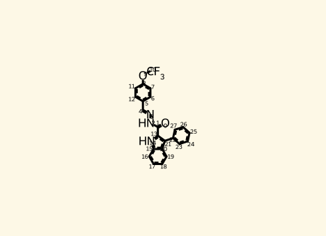 O=C(N/N=C/c1ccc(OC(F)(F)F)cc1)c1[nH]c2ccccc2c1-c1ccccc1